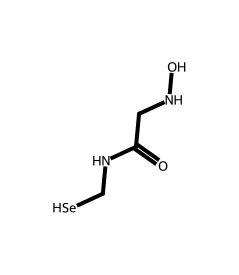 O=C(CNO)NC[SeH]